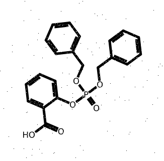 O=C(O)c1ccccc1OP(=O)(OCc1ccccc1)OCc1ccccc1